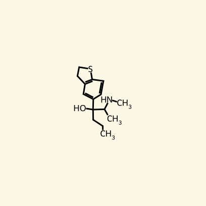 CCCC(O)(c1ccc2c(c1)CCS2)C(C)NC